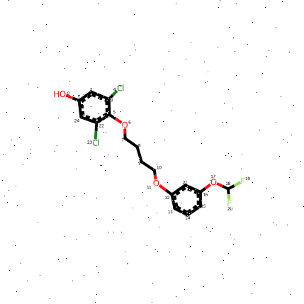 Oc1cc(Cl)c(OCCCCOc2cccc(OC(F)F)c2)c(Cl)c1